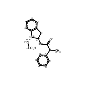 CC(C(=O)N[C@@H]1Cc2ccccc2[C@H]1NC(=O)O)c1ccccc1